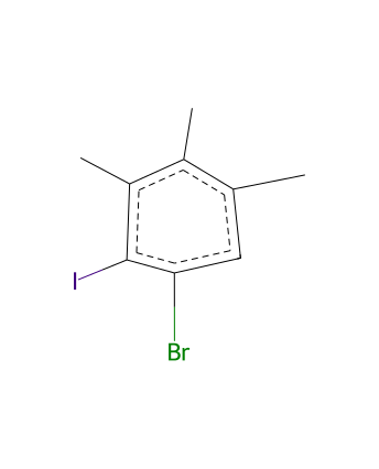 Cc1cc(Br)c(I)c(C)c1C